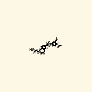 CC(C)Oc1ccc(-c2nc(-c3ccc4c(c3)CCCN(CCC(=O)O)C4)no2)cc1C#N